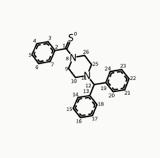 S=C(c1ccccc1)N1CCN(C(c2ccccc2)c2ccccc2)CC1